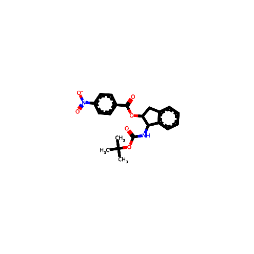 CC(C)(C)OC(=O)NC1c2ccccc2CC1OC(=O)c1ccc([N+](=O)[O-])cc1